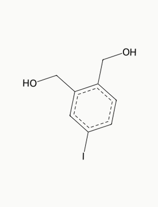 OCc1ccc(I)cc1CO